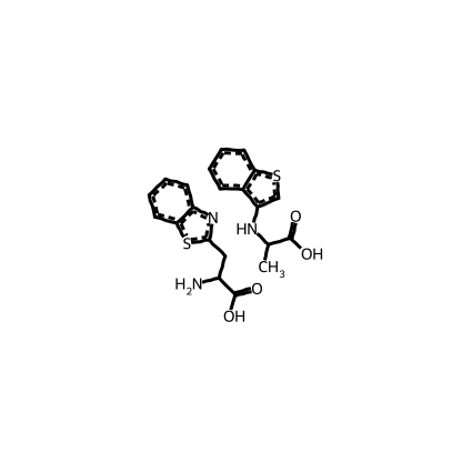 CC(Nc1csc2ccccc12)C(=O)O.NC(Cc1nc2ccccc2s1)C(=O)O